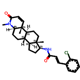 CN1C(=O)C=C[C@]2(C)[C@H]3CC[C@]4(C)[C@@H](NC(=O)C=Cc5ccccc5Cl)CC[C@H]4[C@@H]3CC[C@@H]12